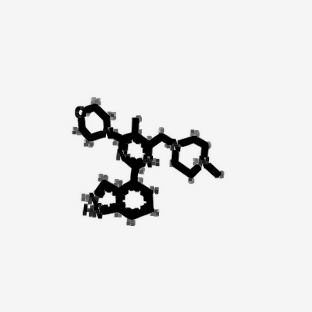 Cc1c(CN2CCN(C)CC2)nc(-c2cccc3[nH]ncc23)nc1N1CCOCC1